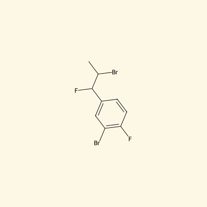 CC(Br)C(F)c1ccc(F)c(Br)c1